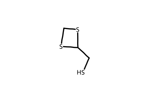 SCC1SCS1